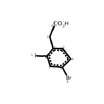 O=C(O)Cc1ccc(Br)cc1I